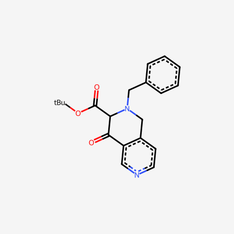 CC(C)(C)OC(=O)C1C(=O)c2cnccc2CN1Cc1ccccc1